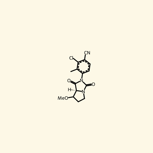 COC1CCN2C(=O)N(c3ccc(C#N)c(Cl)c3C)C(=O)[C@H]12